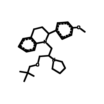 COc1ccc(C2CCc3ccccc3N2CC(COCC(C)(C)C)N2CCCC2)cc1